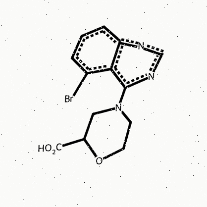 O=C(O)C1CN(c2ncnc3cccc(Br)c23)CCO1